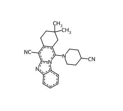 CC1(C)CCc2c(c(N3CCC(C#N)CC3)n3c(nc4ccccc43)c2C#N)C1